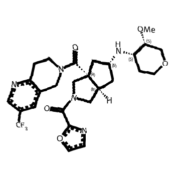 CO[C@@H]1COCC[C@@H]1N[C@@H]1C[C@H]2CN(C(=O)c3ncco3)C[C@@]2(C(=O)N2CCc3ncc(C(F)(F)F)cc3C2)C1